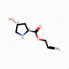 C=CCOC(=O)[C@@H]1C[C@@H](O)CN1